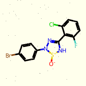 [O-][S+]1NC(c2c(F)cccc2Cl)=NN1c1ccc(Br)cc1